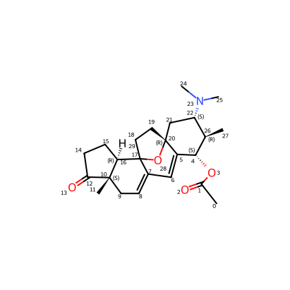 CC(=O)O[C@@H]1C2=CC3=CC[C@]4(C)C(=O)CC[C@H]4C34CC[C@]2(C[C@H](N(C)C)[C@H]1C)O4